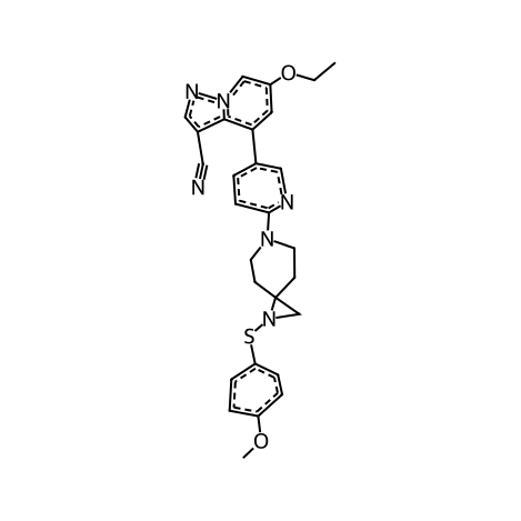 CCOc1cc(-c2ccc(N3CCC4(CC3)CN4Sc3ccc(OC)cc3)nc2)c2c(C#N)cnn2c1